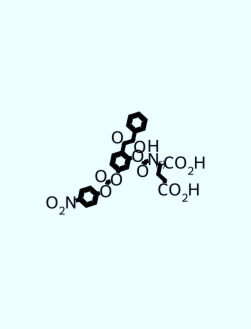 O=C(O)CC[C@H](NC(=O)Oc1cc(OC(=O)Oc2ccc([N+](=O)[O-])cc2)ccc1C(=O)C(=O)c1ccccc1)C(=O)O